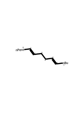 [CH2]CCCCC=CCCC=CCCCC